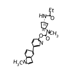 CCC(=O)N[C@H]1CC[C@@H](N(C)C(=O)Oc2ccc(-c3ccc4c(ccn4C)c3)cn2)C1